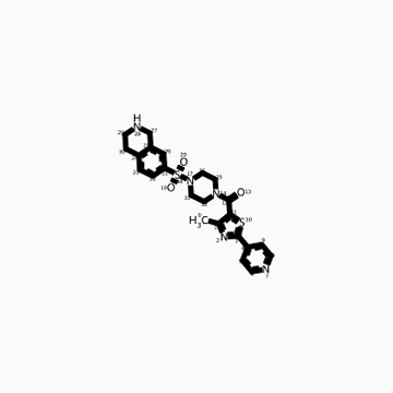 Cc1nc(-c2ccncc2)sc1C(=O)N1CCN(S(=O)(=O)c2ccc3c(c2)CNCC3)CC1